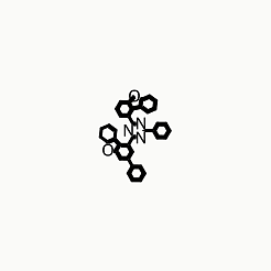 C1=Cc2c(oc3cc(-c4ccccc4)cc(-c4nc(-c5ccccc5)nc(-c5cccc6oc7ccccc7c56)n4)c23)CC1